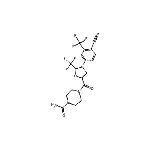 N#Cc1ccc(N2CC(C(=O)N3CCN(C(N)=O)CC3)OC2C(F)(F)F)cc1C(F)(F)F